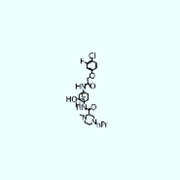 CCCN1CCN(C)C(C(=O)NC23CCC(NC(=O)COc4ccc(Cl)c(F)c4)(CC2)C[C@@H]3O)C1